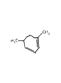 CC1=C[C]=CC(C)C1